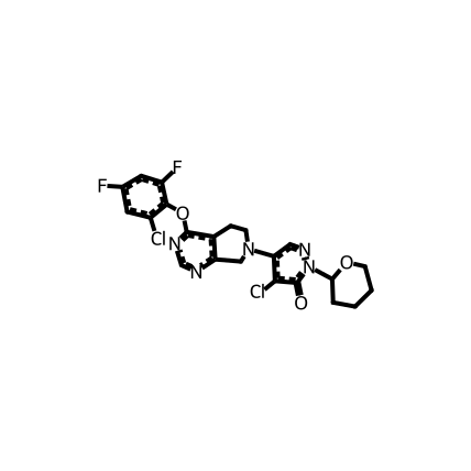 O=c1c(Cl)c(N2CCc3c(ncnc3Oc3c(F)cc(F)cc3Cl)C2)cnn1C1CCCCO1